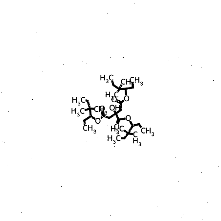 CCC(OC(=O)CC(O)(CC(=O)OC(CC)C(C)(C)CC)C(=O)OC(CC)C(C)(C)CC)C(C)(C)CC